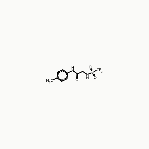 Cc1ccc(NC(=O)CNS(=O)(=O)C(F)(F)F)cc1